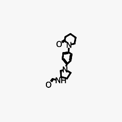 O=CNC1CCN(c2ccc(N3CCCCC3=O)cc2)C1